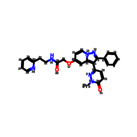 CC(C)n1nc(-c2c(-c3ccccc3)nn3ccc(OCC(=O)NCCc4ccccn4)cc23)ccc1=O